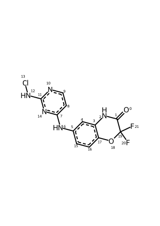 O=C1Nc2cc(Nc3ccnc(NCl)n3)ccc2OC1(F)F